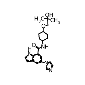 CC(C)(O)COC1CCC(NC(=O)c2cc(-n3ccnc3)cc3cc[nH]c23)CC1